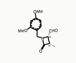 COc1ccc(CN2C(=O)[C@@H](C)[C@H]2C=O)c(OC)c1